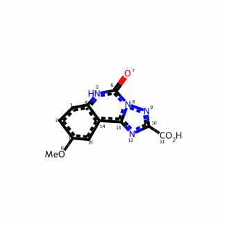 COc1ccc2[nH]c(=O)n3nc(C(=O)O)nc3c2c1